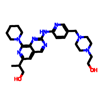 CC(CO)c1cc2cnc(Nc3ccc(CN4CCN(CCO)CC4)cn3)nc2c(N2CCCCC2)n1